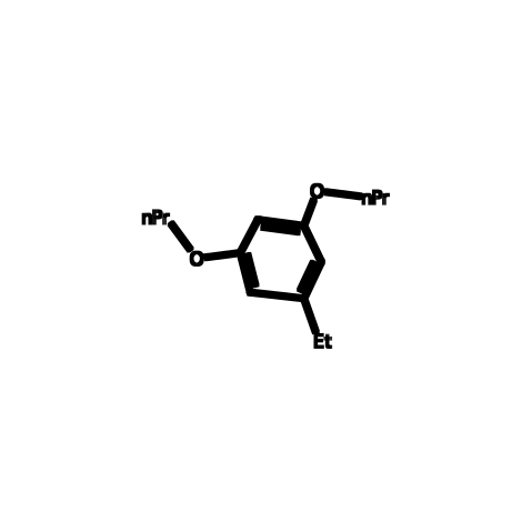 CCCOc1cc(CC)cc(OCCC)c1